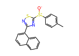 Cc1ccc([S+]([O-])c2nc(-c3cccc4ccccc34)ns2)cc1